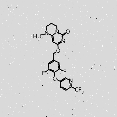 CN1CCCn2c1cc(OCc1cc(F)c(Oc3ccc(C(F)(F)F)nc3)c(F)c1)nc2=O